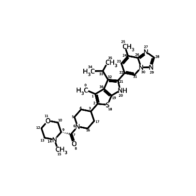 Cc1c(C2CCN(C(=O)[C@H]3COCCN3C)CC2)sc2[nH]c(-c3cc(C)c4ncnn4c3)c(C(C)C)c12